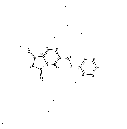 O=C1OC(=O)c2nc(SCc3ccccc3)ccc21